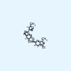 CCn1nc(C)c2nc(COc3nn4c(-c5cc(C)on5)nnc4cc3OC)ccc21